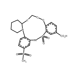 CS(=O)(=O)c1ccc2c(c1)NS(=O)(=O)c1cc(C(=O)O)ccc1OCCCC1CCCCN21